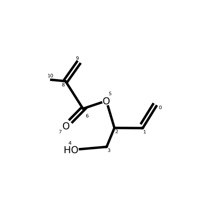 C=CC(CO)OC(=O)C(=C)C